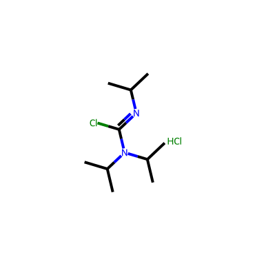 CC(C)/N=C(\Cl)N(C(C)C)C(C)C.Cl